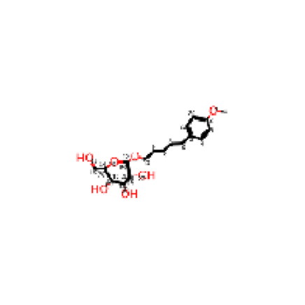 COc1ccc(CCCCCO[C@@H]2O[C@H](CO)[C@@H](O)[C@H](O)[C@H]2O)cc1